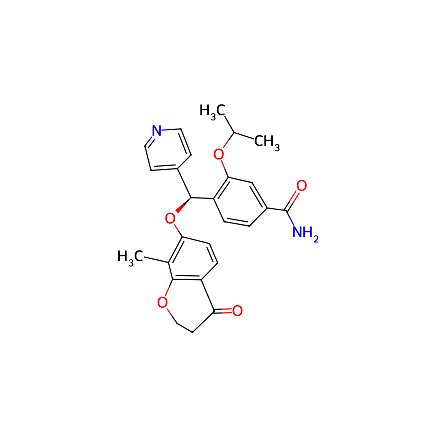 Cc1c(O[C@@H](c2ccncc2)c2ccc(C(N)=O)cc2OC(C)C)ccc2c1OCCC2=O